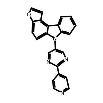 c1ccc2c(c1)c1c3ccoc3ccc1n2-c1cnc(-c2ccncc2)nc1